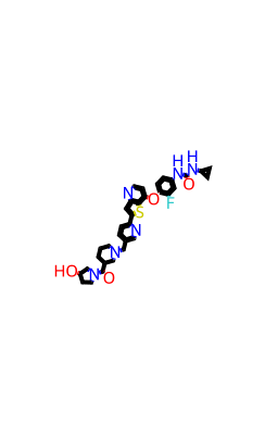 O=C(Nc1ccc(Oc2ccnc3cc(-c4ccc(CN5CCCC(C(=O)N6CCC(O)C6)C5)cn4)sc23)c(F)c1)NC1CC1